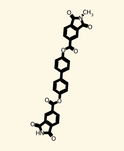 CN1C(=O)c2ccc(C(=O)Oc3ccc(-c4ccc(OC(=O)c5ccc6c(c5)C(=O)NC6=O)cc4)cc3)cc2C1=O